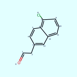 O=CCc1ccc2c(Cl)cccc2c1